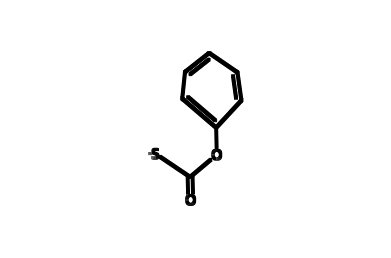 O=C([S])Oc1ccccc1